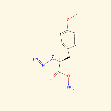 COc1ccc(C[C@H](NN=N)C(=O)ON)cc1